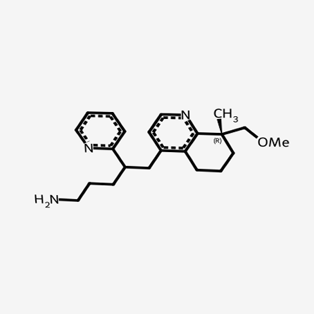 COC[C@]1(C)CCCc2c(CC(CCCN)c3ccccn3)ccnc21